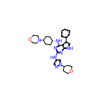 c1ccc(-c2c[nH]c3nc(Nc4cnn(C5CCOCC5)c4)nc(N[C@H]4CC[C@H](N5CCOCC5)CC4)c23)cc1